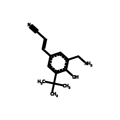 CC(C)(C)c1cc(C=CC#N)cc(CN)c1O